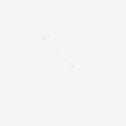 CCOC(=O)C(Cc1ccc(NC(=O)C=Cc2ccc(OS(C)(=O)=O)cc2)cc1)OCC